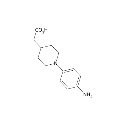 Nc1ccc(N2CCC(CC(=O)O)CC2)cc1